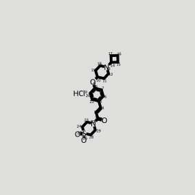 Cl.O=C(C=Cc1ccc(OC2CCN(C3CCC3)CC2)cc1)N1CCS(=O)(=O)CC1